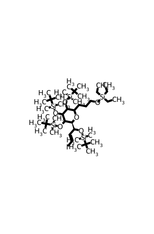 CC[Si](CC)(CC)OCCCC1O[C@@H](C(/C=C/I)O[Si](C)(C)C(C)(C)C)C(O[Si](C)(C)C(C)(C)C)C(O[Si](C)(C)C(C)(C)C)C1O[Si](C)(C)C(C)(C)C